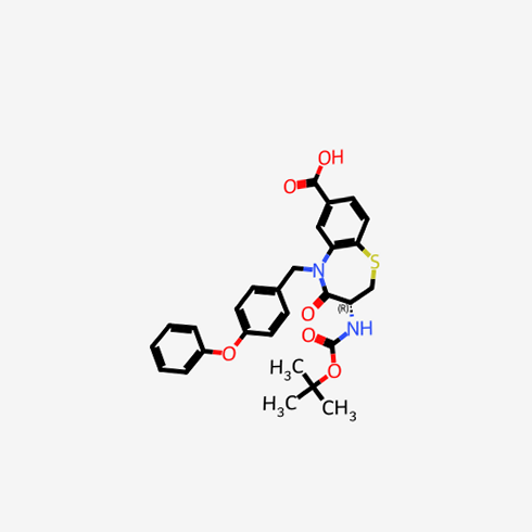 CC(C)(C)OC(=O)N[C@H]1CSc2ccc(C(=O)O)cc2N(Cc2ccc(Oc3ccccc3)cc2)C1=O